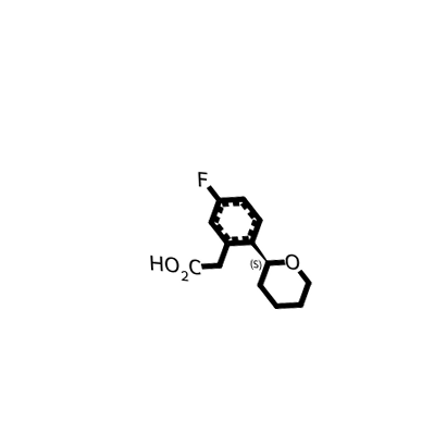 O=C(O)Cc1cc(F)ccc1[C@@H]1CCCCO1